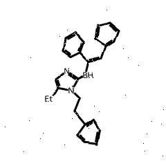 CCc1cnc(BC(=Cc2ccccc2)c2ccccc2)n1CCc1ccccc1